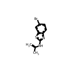 C=C(C)Nc1nc2ccc(Br)cc2s1